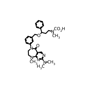 CN(CCC(OCc1cccc(N2CCN(C)c3nc(N(C)C)ncc3C2=O)c1)c1ccccc1)C(=O)O